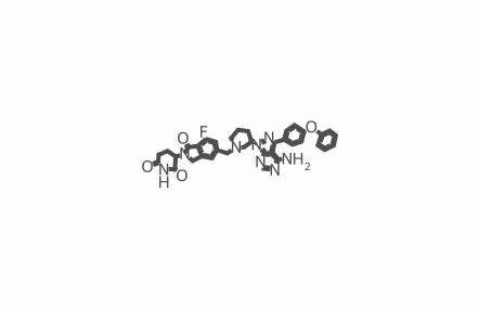 Nc1ncnc2c1c(-c1ccc(Oc3ccccc3)cc1)nn2[C@@H]1CCCN(Cc2cc(F)c3c(c2)CN(C2CCC(=O)NC2=O)C3=O)C1